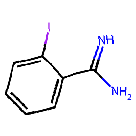 N=C(N)c1ccccc1I